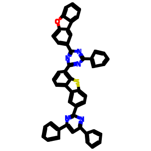 c1ccc(-c2cc(-c3ccccc3)nc(-c3ccc4sc5c(-c6nc(-c7ccccc7)nc(-c7ccc8oc9ccccc9c8c7)n6)cccc5c4c3)n2)cc1